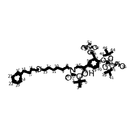 CC(C)(C)OC(=O)N(CCCCCCOCCCCc1ccccc1)CC(O)c1ccc(OC(OP=O)(OC(C)(C)C)OC(C)(C)C)c(COS(C)(=O)=O)c1